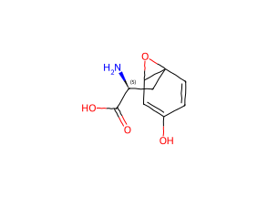 N[C@@H](CC12C=CC(O)=CC1O2)C(=O)O